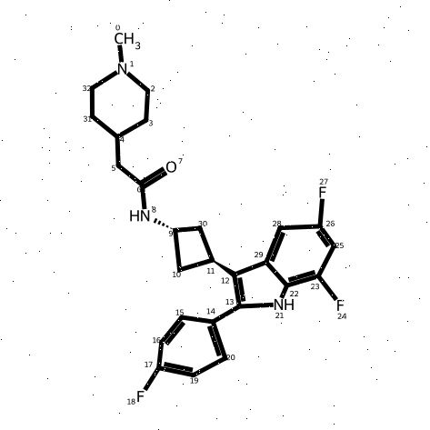 CN1CCC(CC(=O)N[C@H]2C[C@H](c3c(-c4ccc(F)cc4)[nH]c4c(F)cc(F)cc43)C2)CC1